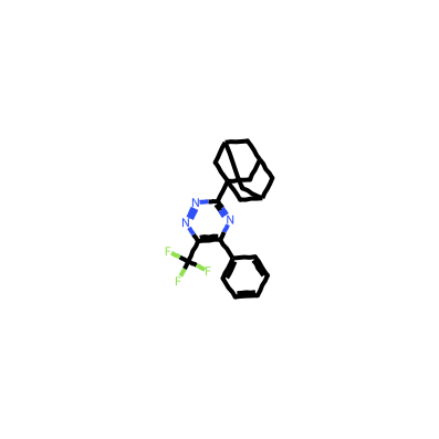 FC(F)(F)c1nnc(C23CC4CC(CC(C4)C2)C3)nc1-c1ccccc1